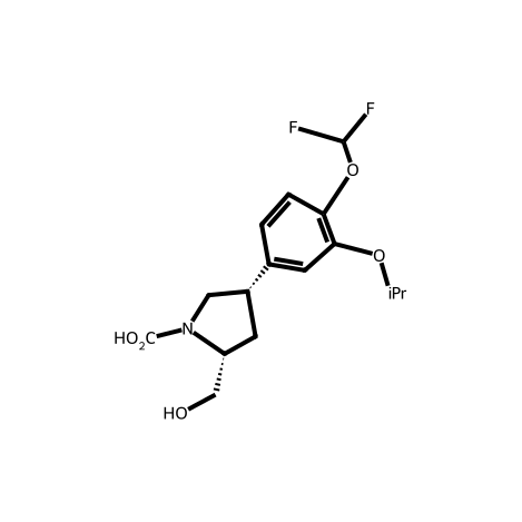 CC(C)Oc1cc([C@@H]2C[C@H](CO)N(C(=O)O)C2)ccc1OC(F)F